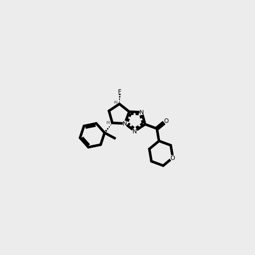 CC1([C@@H]2C[C@H](F)c3nc(C(=O)C4CCCOC4)nn32)C=CC=CC1